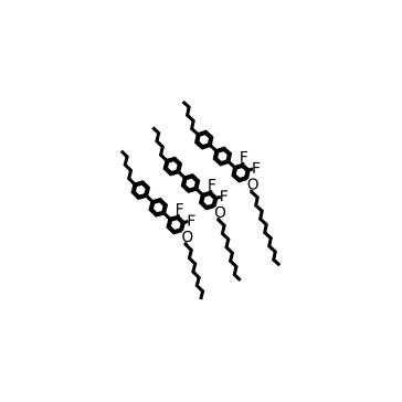 CCCCCCCCCCCCOc1ccc(-c2ccc(-c3ccc(CCCCC)cc3)cc2)c(F)c1F.CCCCCCCCCCOc1ccc(-c2ccc(-c3ccc(CCCCC)cc3)cc2)c(F)c1F.CCCCCCCCCOc1ccc(-c2ccc(-c3ccc(CCCCC)cc3)cc2)c(F)c1F